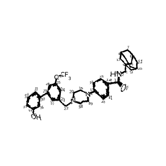 O=C(NCC12CC3CC(CC(C3)C1)C2)c1ccc(N2CCN(Cc3cc(OC(F)(F)F)cc(-c4cccc(O)c4)c3)CC2)cc1